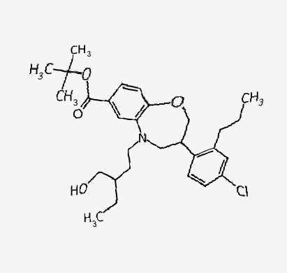 CCCc1cc(Cl)ccc1C1COc2ccc(C(=O)OC(C)(C)C)cc2N(CCC(CC)CO)C1